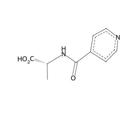 C[C@@H](NC(=O)c1ccncc1)C(=O)O